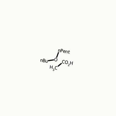 CC(=O)O.CCCCCOCCCC